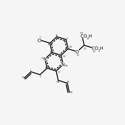 C=CCc1nc2c(Cl)ccc(OC(C(=O)O)C(=O)O)c2nc1CC=C